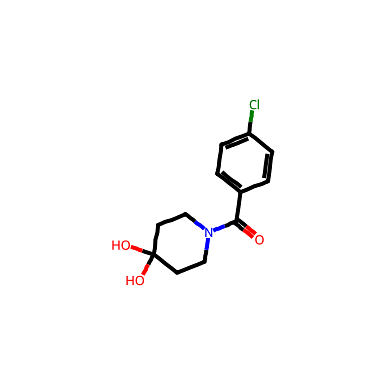 O=C(c1ccc(Cl)cc1)N1CCC(O)(O)CC1